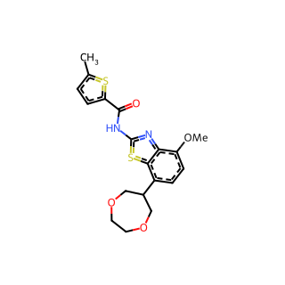 COc1ccc(C2COCCOC2)c2sc(NC(=O)c3ccc(C)s3)nc12